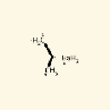 [BaH2].[CH2]CC